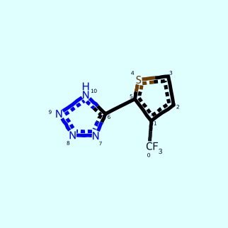 FC(F)(F)c1ccsc1-c1nnn[nH]1